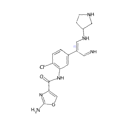 N=C/C(=C\NC1CCNC1)c1ccc(Cl)c(NC(=O)c2coc(N)n2)c1